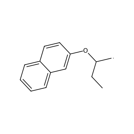 [CH2]C(CC)Oc1ccc2ccccc2c1